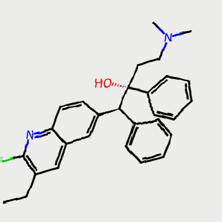 CCc1cc2cc([C@H](c3ccccc3)[C@@](O)(CCN(C)C)c3ccccc3)ccc2nc1Cl